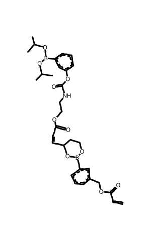 C=CC(=O)OCc1cccc(B2OCCC(/C=C\C(=O)OCCNC(=O)Oc3cccc(B(OC(C)C)OC(C)C)c3)O2)c1